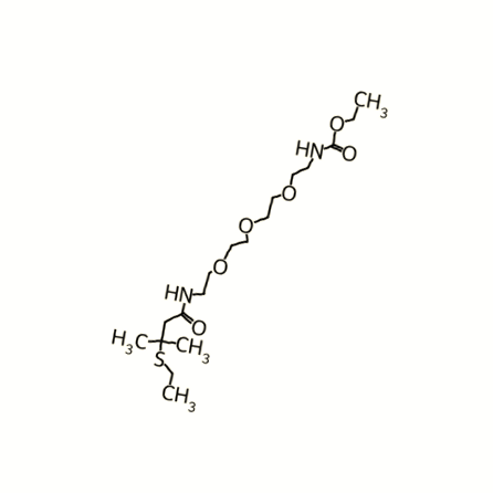 CCOC(=O)NCCOCCOCCOCCNC(=O)CC(C)(C)SCC